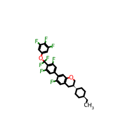 CC[C@H]1CC[C@H](C2COc3cc(-c4cc(F)c(C(F)(F)Oc5cc(F)c(F)c(F)c5)c(F)c4)c(F)cc3C2)CC1